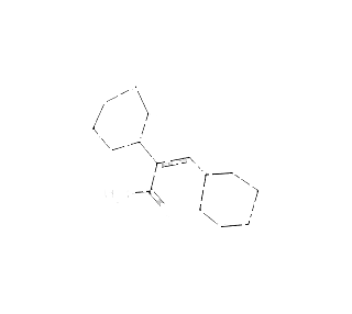 NC(=O)/C(=C\C1CCCCC1)C1CCCCC1